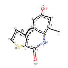 Cc1cc(O)cc2c1[nH]c(=O)c1sccc12